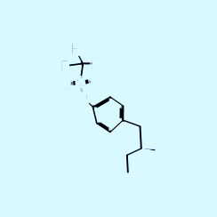 CC[C@H](C)Cc1ccc(OS(=O)(=O)C(F)(F)F)cc1